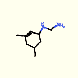 CC1=CC(NCN)CC(C)C1